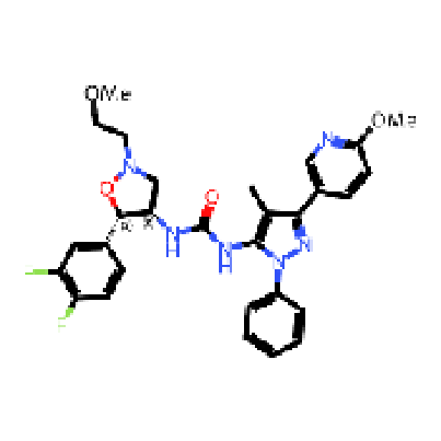 COCCN1C[C@@H](NC(=O)Nc2c(C)c(-c3ccc(OC)nc3)nn2-c2ccccc2)[C@H](c2ccc(F)c(F)c2)O1